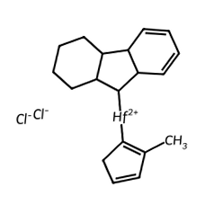 CC1=[C]([Hf+2][CH]2C3C=CC=CC3C3CCCCC32)CC=C1.[Cl-].[Cl-]